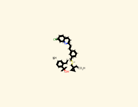 CC(C)(O)c1ccccc1CC[C@@H](SCC1(CC(=O)O)CC1)c1cccc(C=Cc2ccc3ccc(Cl)cc3n2)c1.[KH]